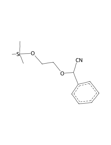 C[Si](C)(C)OCCOC(C#N)c1ccccc1